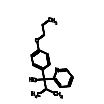 CCCOc1ccc(C(O)(c2ccccn2)C(C)C)cc1